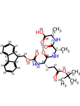 C[C@H](NC(=O)[C@H](C)NC(=O)[C@H](CCC(=O)OC(C)(C)C)NC(=O)OCC1c2ccccc2-c2ccccc21)C(=O)O